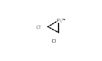 [CH2]1[CH2][Pt+2]1.[Cl-].[Cl-]